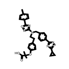 Cc1ccc(-c2nc(N(CCc3ccc(OC(C)(C)C(=O)O)cc3)Cc3ccc(-c4noc(C5CC5)n4)cc3)no2)cc1